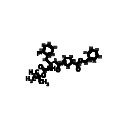 CC(C)(C)OC(=O)N[C@@H](CC(=O)N1CCC(C(=O)OCc2ccccc2)C1)Cc1ccccc1F